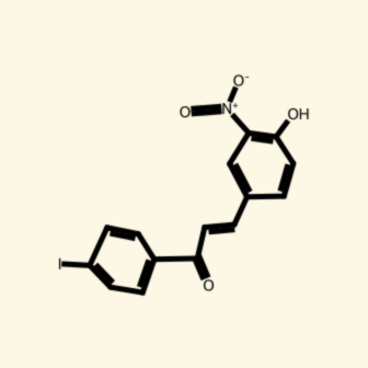 O=C(C=Cc1ccc(O)c([N+](=O)[O-])c1)c1ccc(I)cc1